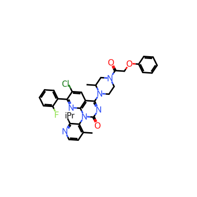 Cc1ccnc(C(C)C)c1-n1c(=O)nc(N2CCN(C(=O)COc3ccccc3)CC2C)c2cc(Cl)c(-c3ccccc3F)nc21